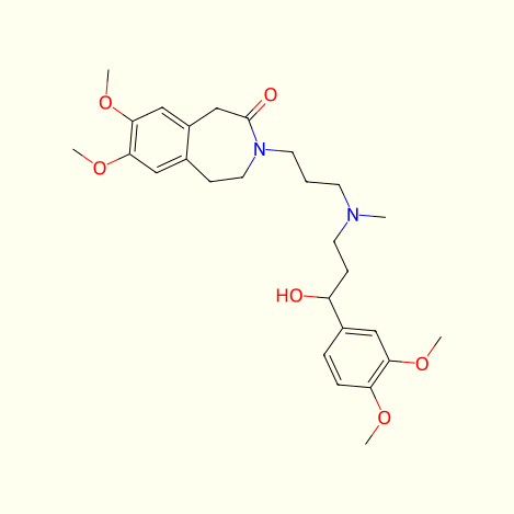 COc1ccc(C(O)CCN(C)CCCN2CCc3cc(OC)c(OC)cc3CC2=O)cc1OC